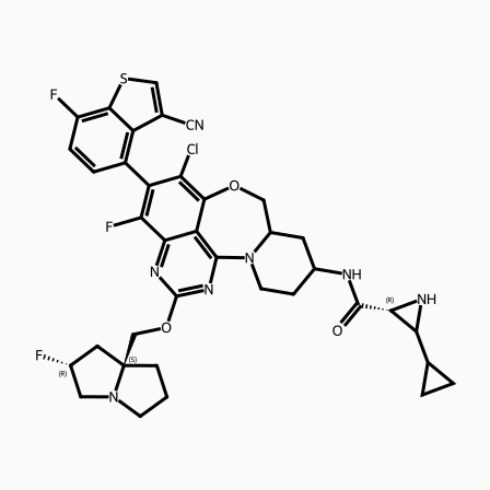 N#Cc1csc2c(F)ccc(-c3c(Cl)c4c5c(nc(OC[C@@]67CCCN6C[C@H](F)C7)nc5c3F)N3CCC(NC(=O)[C@@H]5NC5C5CC5)CC3CO4)c12